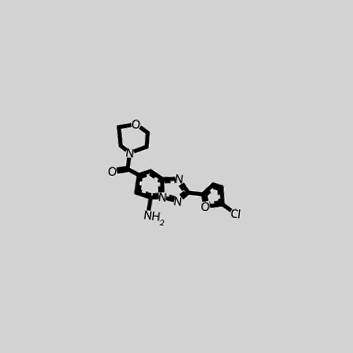 Nc1cc(C(=O)N2CCOCC2)cc2nc(-c3ccc(Cl)o3)nn12